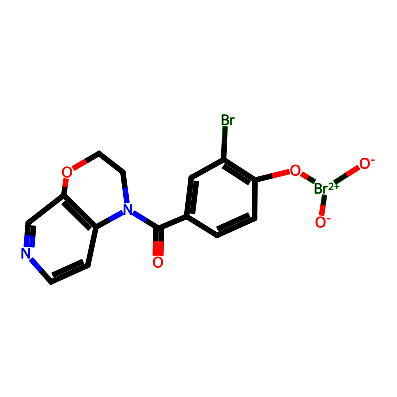 O=C(c1ccc(O[Br+2]([O-])[O-])c(Br)c1)N1CCOc2cnccc21